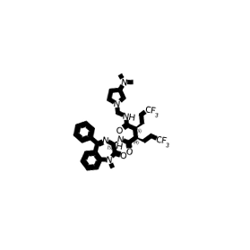 CN1C(=O)[C@@H](NC(=O)[C@H](CCC(F)(F)F)[C@H](CCC(F)(F)F)C(=O)NCN2CCC(N(C)C)C2)N=C(c2ccccc2)c2ccccc21